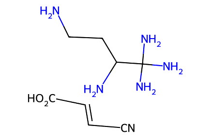 N#CC=CC(=O)O.NCCC(N)C(N)(N)N